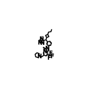 C=C1N2C=C(CN3CCCCC3)C=C(C(F)(F)F)C2=CN1c1cccc(C(c2nncn2C)C2CC(CCC)C2)c1